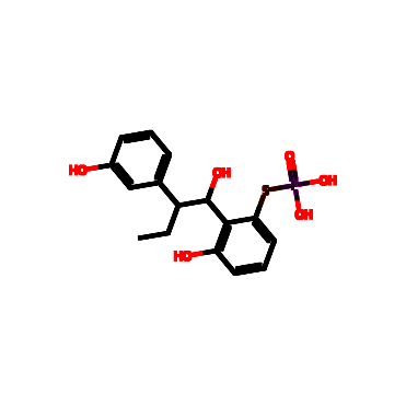 CCC(c1cccc(O)c1)C(O)c1c(O)cccc1SP(=O)(O)O